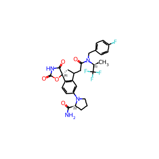 C[C@H](N(Cc1ccc(F)cc1)C(=O)CC1C[C@@]2(OC(=O)NC2=O)c2ccc(N3CCC[C@H]3C(N)=O)cc21)C(F)(F)F